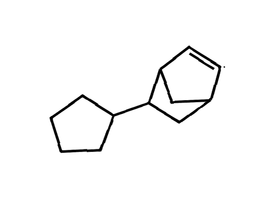 [C]1=CC2CC1CC2C1CCCC1